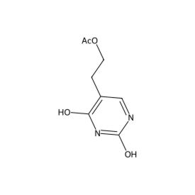 CC(=O)OCCc1cnc(O)nc1O